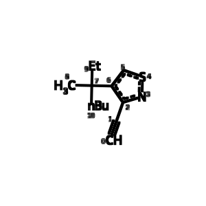 C#Cc1nscc1C(C)(CC)CCCC